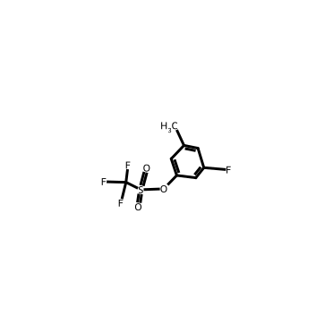 Cc1cc(F)cc(OS(=O)(=O)C(F)(F)F)c1